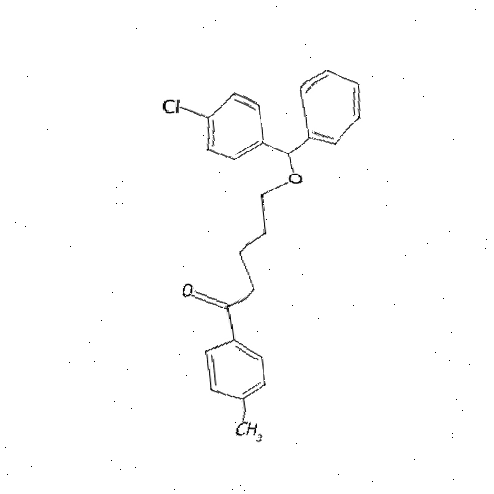 Cc1ccc(C(=O)CCCCOC(c2ccccc2)c2ccc(Cl)cc2)cc1